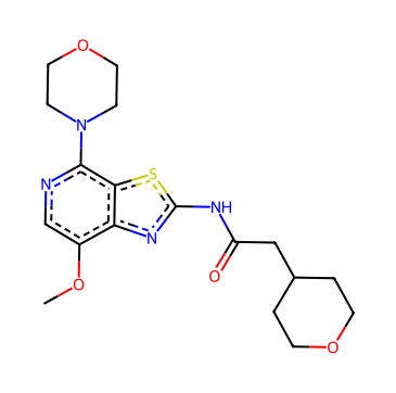 COc1cnc(N2CCOCC2)c2sc(NC(=O)CC3CCOCC3)nc12